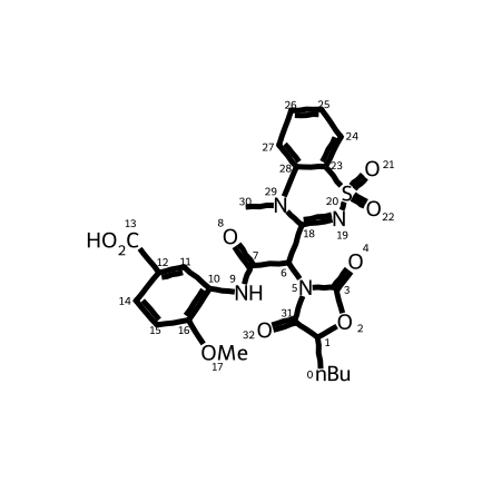 CCCCC1OC(=O)N(C(C(=O)Nc2cc(C(=O)O)ccc2OC)C2=NS(=O)(=O)c3ccccc3N2C)C1=O